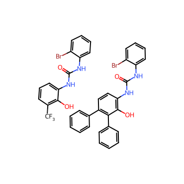 O=C(Nc1ccccc1Br)Nc1ccc(-c2ccccc2)c(-c2ccccc2)c1O.O=C(Nc1ccccc1Br)Nc1cccc(C(F)(F)F)c1O